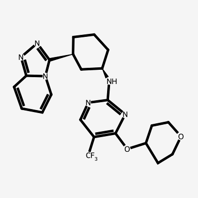 FC(F)(F)c1cnc(N[C@@H]2CCC[C@H](c3nnc4ccccn34)C2)nc1OC1CCOCC1